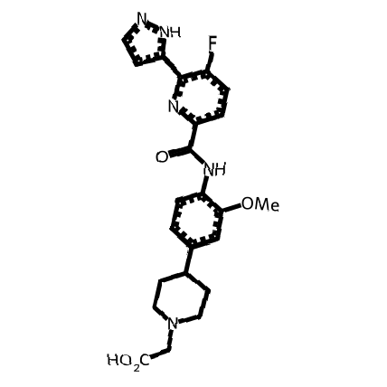 COc1cc(C2CCN(CC(=O)O)CC2)ccc1NC(=O)c1ccc(F)c(-c2ccn[nH]2)n1